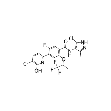 Cc1n[nH]c(Cl)c1NC(=O)c1cc(F)c(-c2ccc(Cl)c(O)n2)cc1OC(C)C(F)(F)F